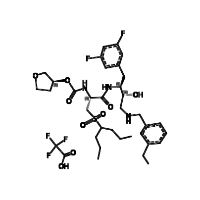 CCCC(CCC)S(=O)(=O)C[C@H](NC(=O)O[C@H]1CCOC1)C(=O)N[C@@H](Cc1cc(F)cc(F)c1)[C@H](O)CNCc1cccc(CC)c1.O=C(O)C(F)(F)F